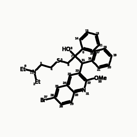 CCN(CC)CCSCC(O)(c1ccccc1)C(c1ccccc1)c1cc2cc(Br)ccc2nc1OC